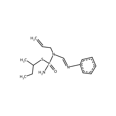 C=CCN(C=Nc1ccccc1)P(N)(=O)SC(C)CC